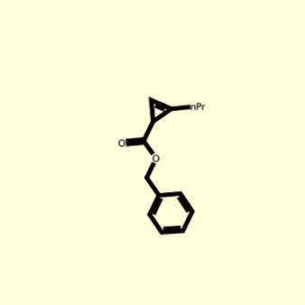 CCCC1=CC1C(=O)OCc1ccccc1